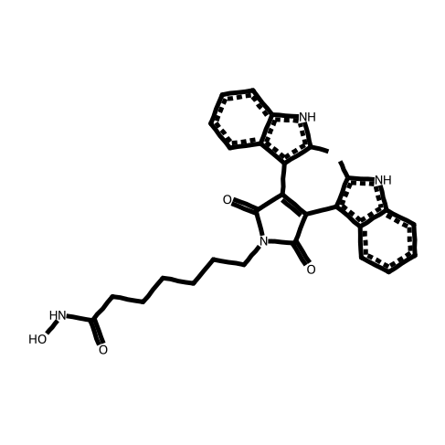 Cc1[nH]c2ccccc2c1C1=C(c2c(C)[nH]c3ccccc23)C(=O)N(CCCCCCC(=O)NO)C1=O